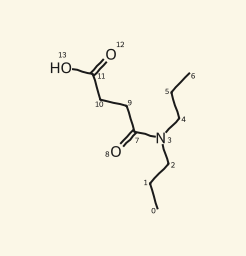 CCCN(CCC)C(=O)CCC(=O)O